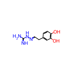 N=C(N)NN=CCc1ccc(O)c(O)c1